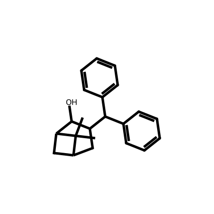 CC1(C)C2CC(C(c3ccccc3)c3ccccc3)C(O)C1C2